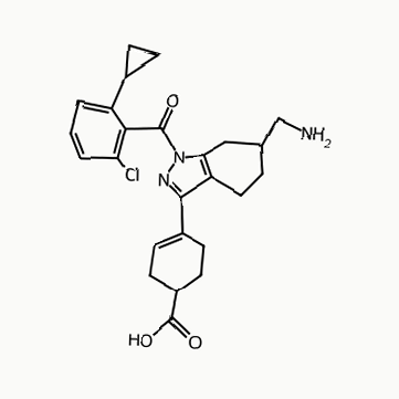 NCC1CCc2c(C3=CCC(C(=O)O)CC3)nn(C(=O)c3c(Cl)cccc3C3CC3)c2C1